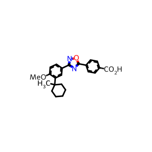 COc1ccc(-c2noc(-c3ccc(C(=O)O)cc3)n2)cc1C1(C)CCCCC1